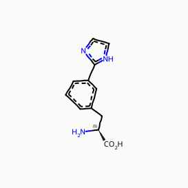 N[C@@H](Cc1cccc(-c2ncc[nH]2)c1)C(=O)O